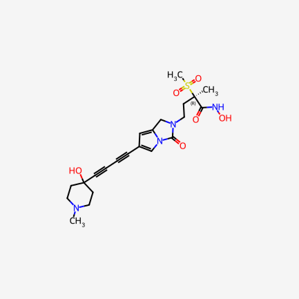 CN1CCC(O)(C#CC#Cc2cc3n(c2)C(=O)N(CC[C@](C)(C(=O)NO)S(C)(=O)=O)C3)CC1